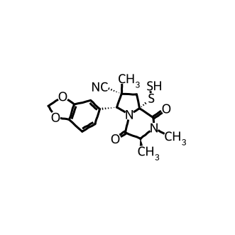 C[C@H]1C(=O)N2[C@H](c3ccc4c(c3)OCO4)[C@](C)(C#N)C[C@@]2(SS)C(=O)N1C